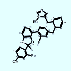 CCn1cncc1CC1C=CC=CC1Cc1ccc(-c2cccc3c2OC(C)(c2ccc(Cl)cc2F)O3)c(F)c1